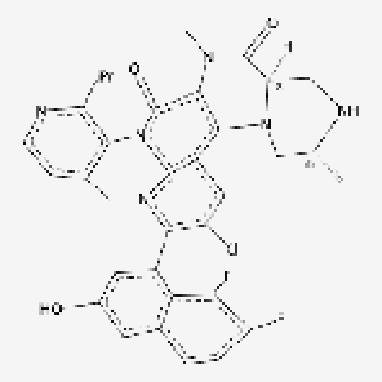 Cc1ccnc(C(C)C)c1-n1c(=O)c2c(c3cc(Cl)c(-c4cc(O)cc5ccc(F)c(F)c45)nc31)N1C[C@@H](C)NC[C@@H]1C(=O)N2C